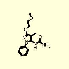 COCCOc1nn(-c2ccccc2)c(NC(N)=O)c1C